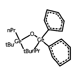 CC[CH2][Ge]([O][Ge]([CH2]CC)([C](C)(C)C)[C](C)(C)C)([c]1ccccc1)[c]1ccccc1